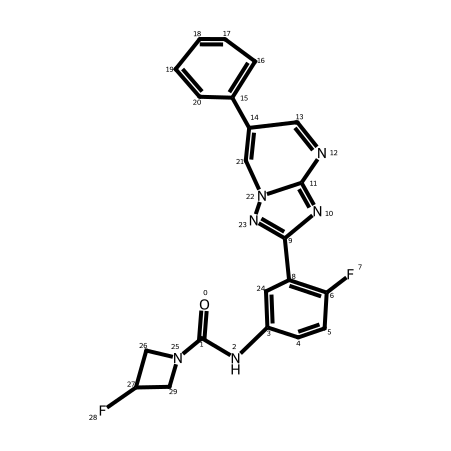 O=C(Nc1ccc(F)c(-c2nc3ncc(-c4ccccc4)cn3n2)c1)N1CC(F)C1